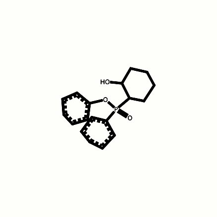 O=P(Oc1ccccc1)(c1ccccc1)C1CCCCC1O